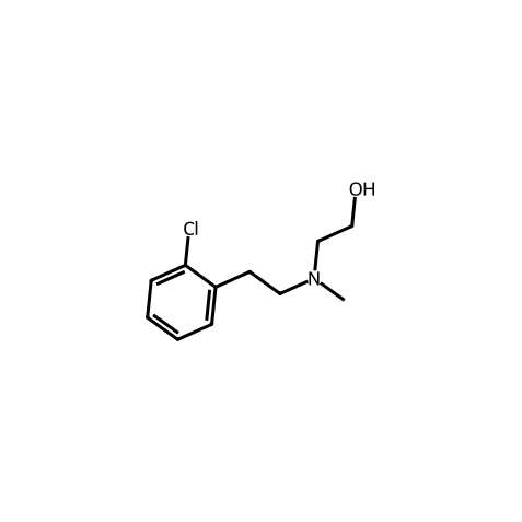 CN(CCO)CCc1ccccc1Cl